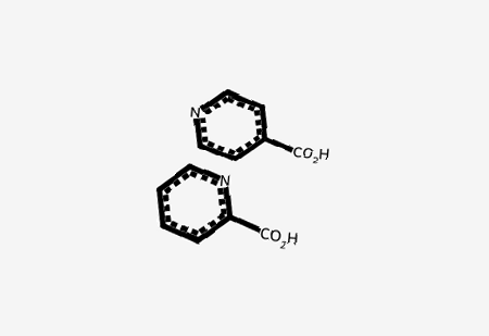 O=C(O)c1ccccn1.O=C(O)c1ccncc1